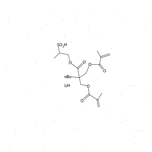 C=C(C)C(=O)OCC(CCCC)(COC(=O)C(=C)C)C(=O)OCC(C)S(=O)(=O)O.[LiH]